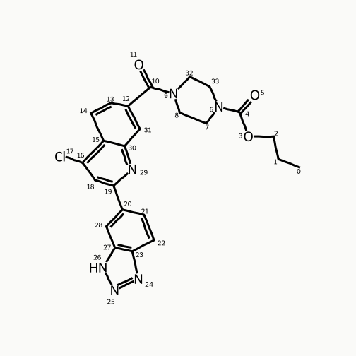 CCCOC(=O)N1CCN(C(=O)c2ccc3c(Cl)cc(-c4ccc5nn[nH]c5c4)nc3c2)CC1